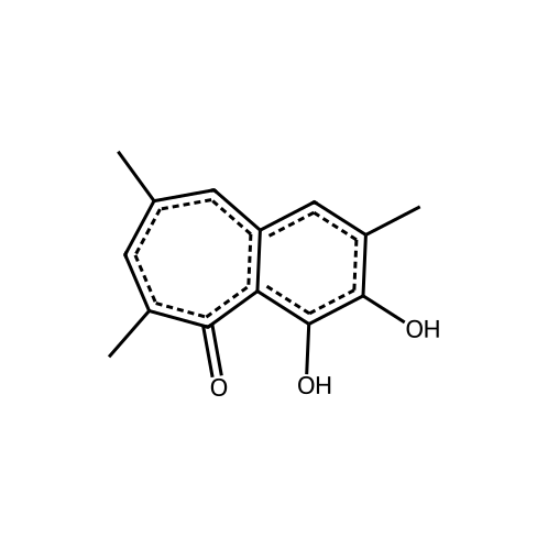 Cc1cc(C)c(=O)c2c(O)c(O)c(C)cc2c1